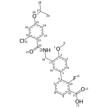 COc1ccc(-c2cccc(C(=O)O)c2F)cc1CNC(=O)c1ccc(OC(C)C)cc1Cl